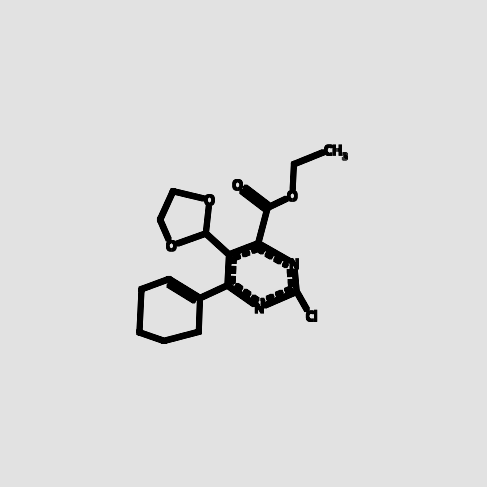 CCOC(=O)c1nc(Cl)nc(C2=CCCCC2)c1C1OCCO1